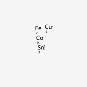 [Co].[Cu].[Fe].[Sn]